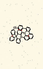 CC(C)(C)c1cc2c3c(c1)C(c1ccccc1)(c1ccccc1)c1ccccc1B3c1ccccc1N2c1c(-c2ccccc2)cccc1-c1ccccc1